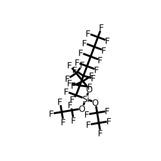 FC(F)(F)C(F)(F)O[Si](OC(F)(F)C(F)(F)F)(OC(F)(F)C(F)(F)F)C(F)(F)C(F)(F)C(F)(F)C(F)(F)C(F)(F)C(F)(F)C(F)(F)F